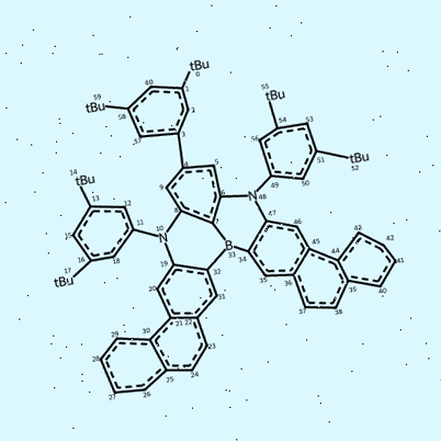 CC(C)(C)c1cc(-c2cc3c4c(c2)N(c2cc(C(C)(C)C)cc(C(C)(C)C)c2)c2cc5c(ccc6ccccc65)cc2B4c2cc4ccc5ccccc5c4cc2N3c2cc(C(C)(C)C)cc(C(C)(C)C)c2)cc(C(C)(C)C)c1